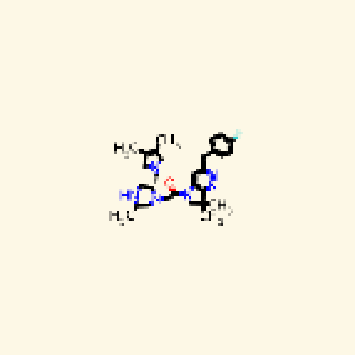 CC1=C(C)CN(C[C@H]2CN[C@H](C)CN2CC(=O)N2CC(C)(C)c3nnc(Cc4ccc(F)cc4)cc32)C1